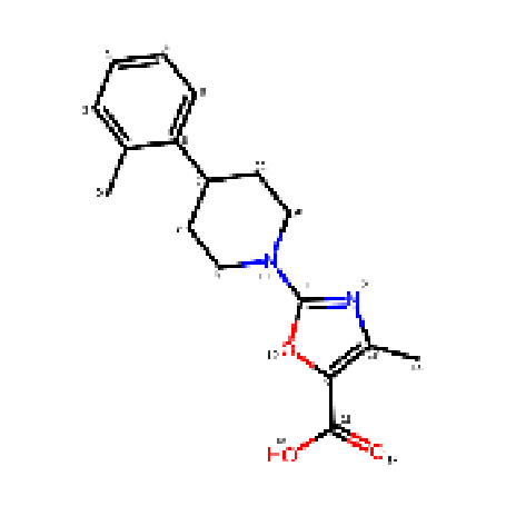 Cc1ccccc1C1CCN(c2nc(C)c(C(=O)O)o2)CC1